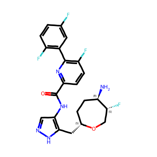 N[C@@H]1CC[C@@H](Cc2[nH]ncc2NC(=O)c2ccc(F)c(-c3cc(F)ccc3F)n2)OC[C@H]1F